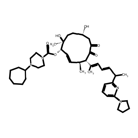 C/C(=C\C=C\C(C)c1cccc(N2CCCC2)n1)[C@H]1C(=O)C(=O)C[C@@H](O)CC[C@](C)(O)[C@@H](OC(=O)N2CCN(C3CCCCCC3)CC2)/C=C/[C@@H]1C